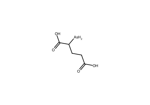 O=C(O)CCC([AsH2])C(=O)O